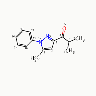 Cc1cc(C(=O)C(C)C)nn1-c1ccccc1